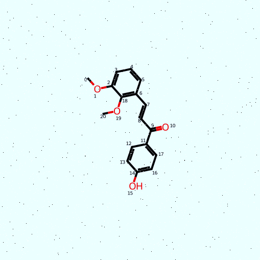 COc1cccc(C=CC(=O)c2ccc(O)cc2)c1OC